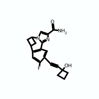 NC(=O)c1cn2c(n1)-c1cc(C#CC3(O)CCC3)c(F)cc1C1CC2C1